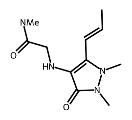 C/C=C/c1c(NCC(=O)NC)c(=O)n(C)n1C